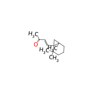 CC(=O)/C=C/C12CC1(C)CCCC2(C)C